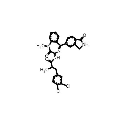 CC(Cc1ccc(Cl)c(Cl)c1)C(=O)NC1N=C(c2ccc3c(c2)CNC3=O)c2ccccc2N(C)C1=O